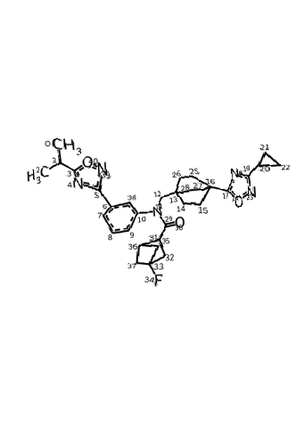 CC(C)c1nc(-c2cccc(N(CC34CCC(c5nc(C6CC6)no5)(CC3)CC4)C(=O)C3CC4(F)CC3C4)c2)no1